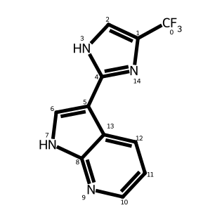 FC(F)(F)c1c[nH]c(-c2c[nH]c3ncccc23)n1